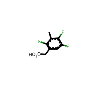 Cc1c(F)c(F)cc(CC(=O)O)c1F